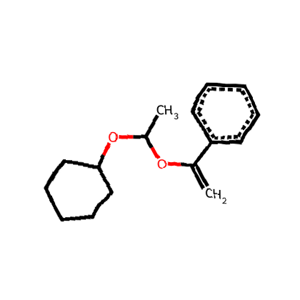 C=C(OC(C)OC1CCCCC1)c1ccccc1